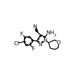 N#Cc1c(-c2cc(F)c(Cl)cc2F)nn(C2CCCOC2)c1N